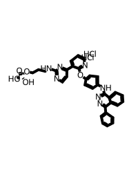 Cl.Cl.O=P(O)(O)OCCCNc1nccc(-c2cccnc2Oc2ccc(Nc3nnc(-c4ccccc4)c4ccccc34)cc2)n1